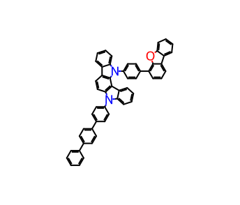 c1ccc(-c2ccc(-c3ccc(-n4c5ccccc5c5c4ccc4c6ccccc6n(-c6ccc(-c7cccc8c7oc7ccccc78)cc6)c45)cc3)cc2)cc1